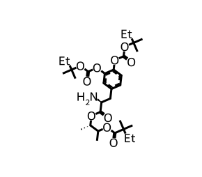 CCC(C)(C)OC(=O)Oc1ccc(C[C@H](N)C(=O)O[C@@H](C)C(C)OC(=O)C(C)(C)CC)cc1OC(=O)OC(C)(C)CC